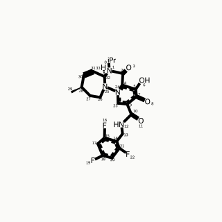 CC(C)N1C(=O)c2c(O)c(=O)c(C(=O)NCc3c(F)cc(F)cc3F)cn2N2CC[C@@H](C)C#C[C@@H]12